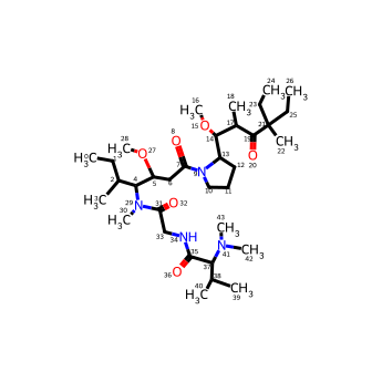 CCC(C)C(C(CC(=O)N1CCCC1C(OC)C(C)C(=O)C(C)(CC)CC)OC)N(C)C(=O)CNC(=O)C(C(C)C)N(C)C